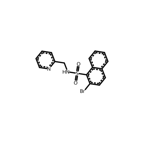 O=S(=O)(NCc1ccccn1)c1c(Br)ccc2ccccc12